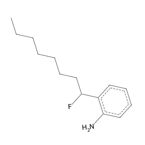 CCCCCCCC(F)c1ccccc1N